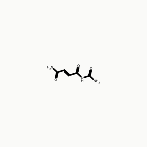 NC(=O)/C=C/C(=O)NC(N)=O